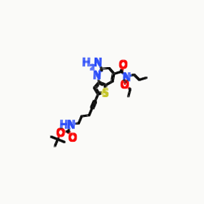 CCCN(OCC)C(=O)C1=Cc2sc(C#CCCCNC(=O)OC(C)(C)C)cc2N=C(N)C1